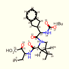 CC(C)CC(NC(=O)[C@@H]1[C@@H]2[C@H](CN1C(=O)C(NC(=O)OC(C)(C)C)C1Cc3ccccc3C1)C2(C)C)C(=O)C(=O)O